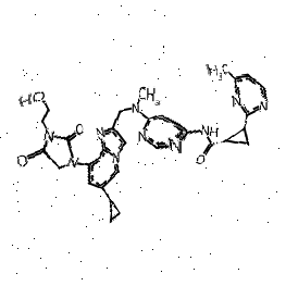 Cc1ccnc([C@H]2C[C@@H]2C(=O)Nc2cc(N(C)Cc3cn4cc(C5CC5)cc(N5CC(=O)N(CCO)C5=O)c4n3)ncn2)n1